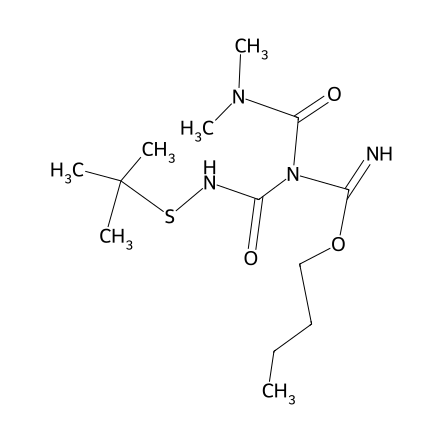 CCCCOC(=N)N(C(=O)NSC(C)(C)C)C(=O)N(C)C